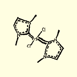 Cn1ccn(C)[c]1=[Pd]([Cl])([Cl])=[c]1n(C)ccn1C